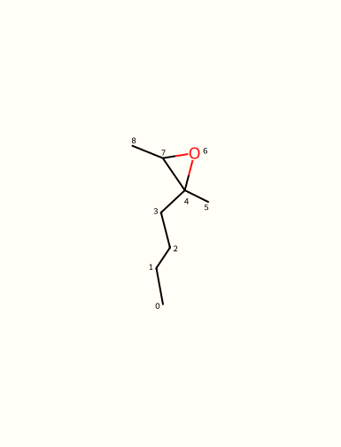 CCCCC1(C)OC1C